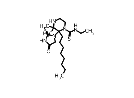 CCCCCCCCC1(N2CC(=O)NC2=S)N(C(=S)NCC)CCNC1(C)C